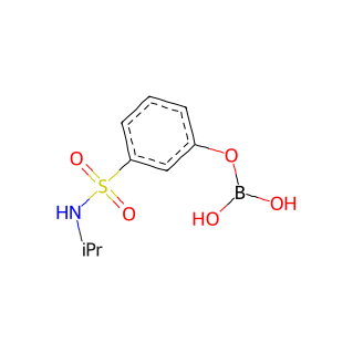 CC(C)NS(=O)(=O)c1cccc(OB(O)O)c1